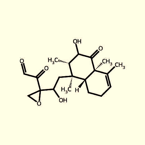 CC1=CCC[C@H]2[C@@]1(C)C(=O)C(O)[C@@H](C)[C@]2(C)CC(O)C1(C(=O)C=O)CO1